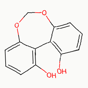 Oc1cccc2c1-c1c(O)cccc1OCO2